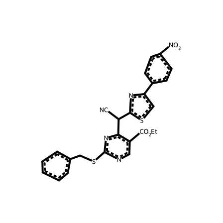 CCOC(=O)c1cnc(SCc2ccccc2)nc1C(C#N)c1nc(-c2ccc([N+](=O)[O-])cc2)cs1